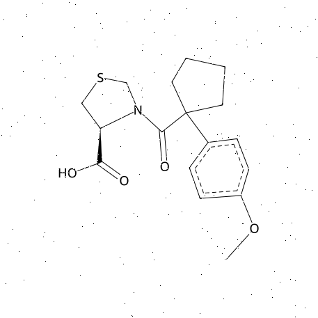 COc1ccc(C2(C(=O)N3CSC[C@@H]3C(=O)O)CCCC2)cc1